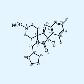 CON1CCC2(CC1)C(=O)C(Cl)(c1c(C)cc(C)cc1C)C(=O)N2CC1CCCO1